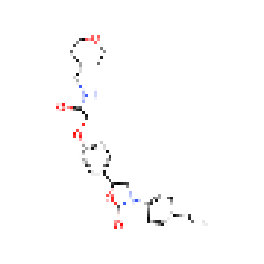 O=C(COc1ccc(C2CN(c3ccc(C(F)(F)F)cc3)C(=O)O2)cc1)NCC1CCOCC1